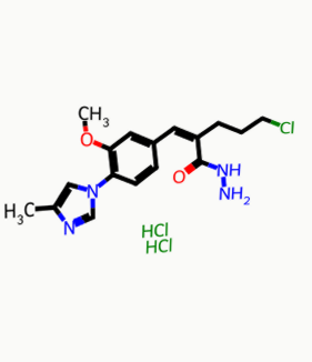 COc1cc(C=C(CCCCl)C(=O)NN)ccc1-n1cnc(C)c1.Cl.Cl